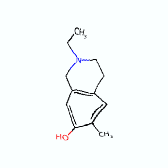 CCN1CCc2cc(C)c(O)cc2C1